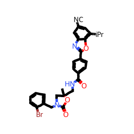 [C-]#[N+]c1cc(C(C)C)c2oc(-c3ccc(C(=O)NCC4(C)CN(Cc5ccccc5Br)C(=O)O4)cc3)nc2c1